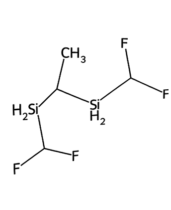 CC([SiH2]C(F)F)[SiH2]C(F)F